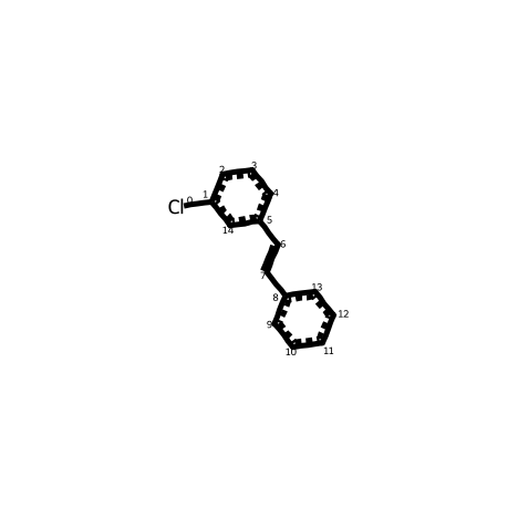 Clc1cc[c]c(C=Cc2ccccc2)c1